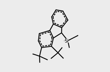 C[Si](C)C1c2ccccc2-c2ccc(C(C)(C)C)c(C(C)(C)C)c21